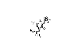 CCSC(=O)N(CC(C)C)CC(C)C.[B+3].[F-].[F-].[F-]